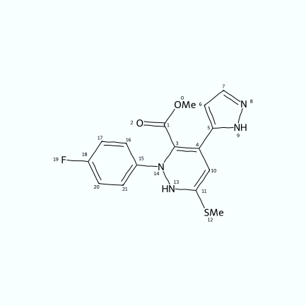 COC(=O)C1=C(c2ccn[nH]2)C=C(SC)NN1c1ccc(F)cc1